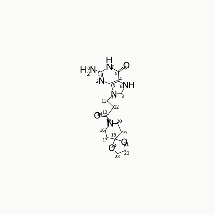 Nc1nc2c(c(=O)[nH]1)NCN2CCC(=O)N1CCC2(CC1)OCCO2